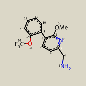 COc1nc(CN)ccc1-c1ccccc1OC(F)(F)F